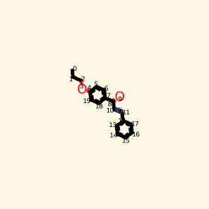 CCCOc1ccc(C(=O)/C=C/c2ccccc2)cc1